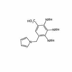 CNc1c(Cn2cccc2)cc(C(=O)O)c(NC)c1NC